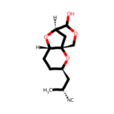 [C-]#[N+][C@H](C)C[C@H]1CC[C@@H]2O[C@@H]3C[C@]2(COC3O)O1